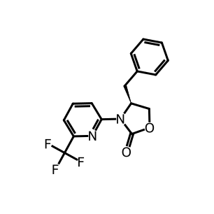 O=C1OC[C@H](Cc2ccccc2)N1c1cccc(C(F)(F)F)n1